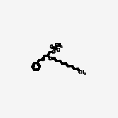 CCCCCCCCCCOC(COCc1ccccc1)COS(C)(=O)=O